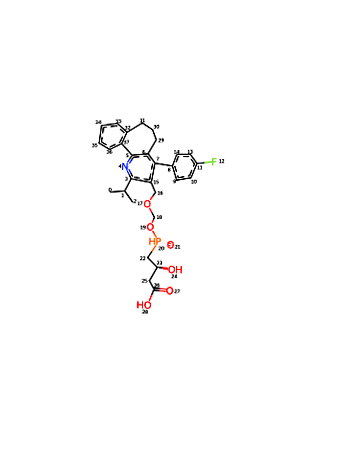 CC(C)c1nc2c(c(-c3ccc(F)cc3)c1COCO[PH](=O)C[C@@H](O)CC(=O)O)CCCc1ccccc1-2